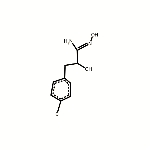 N/C(=N\O)C(O)Cc1ccc(Cl)cc1